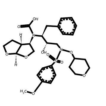 COc1ccc(S(=O)(=O)N(C[C@H](O)[C@H](Cc2ccccc2)N(C(=O)O)[C@H]2CO[C@H]3OCC[C@H]32)OC2CCOCC2)cc1